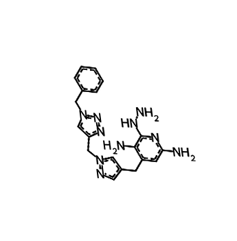 NNc1nc(N)cc(Cc2cnn(Cc3cn(Cc4ccccc4)nn3)c2)c1N